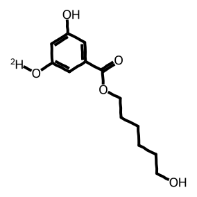 [2H]Oc1cc(O)cc(C(=O)OCCCCCCO)c1